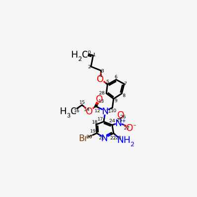 C=CCCOc1cccc(CN(C(=O)OCC)c2cc(Br)nc(N)c2[N+](=O)[O-])c1